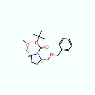 COC[C@H]1CC[C@@H](COCc2ccccc2)N1C(=O)OC(C)(C)C